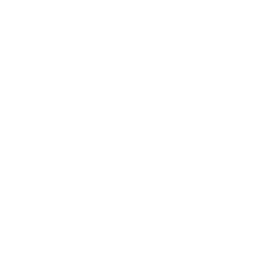 COC(=O)C=CC#CC(C)(C)C